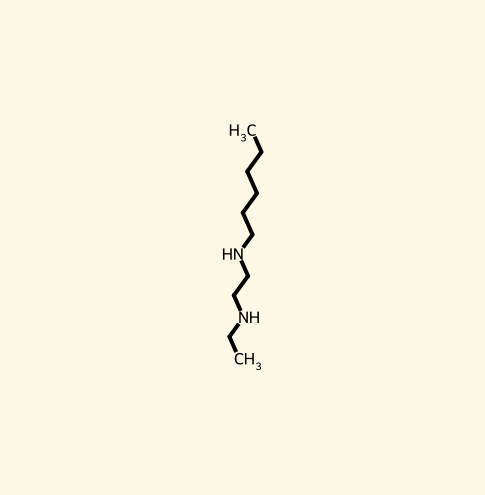 CCCCCCNCCNCC